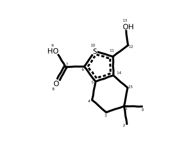 CC1(C)CCc2c(C(=O)O)sc(CO)c2C1